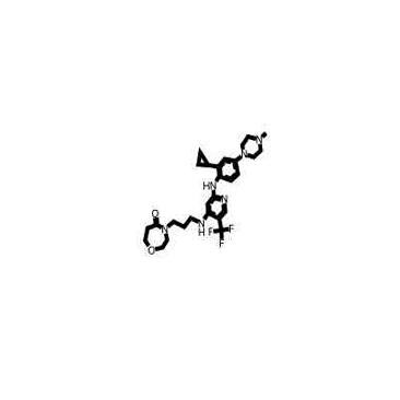 CN1CCN(c2ccc(Nc3cc(NCCCN4CCOCCC4=O)c(C(F)(F)F)cn3)c(C3CC3)c2)CC1